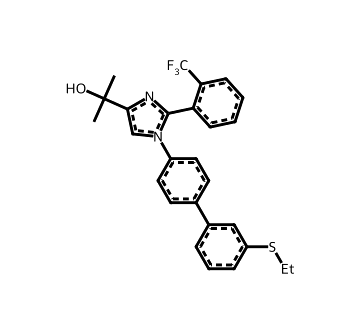 CCSc1cccc(-c2ccc(-n3cc(C(C)(C)O)nc3-c3ccccc3C(F)(F)F)cc2)c1